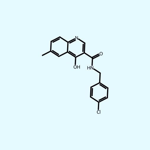 Cc1ccc2ncc(C(=O)NCc3ccc(Cl)cc3)c(O)c2c1